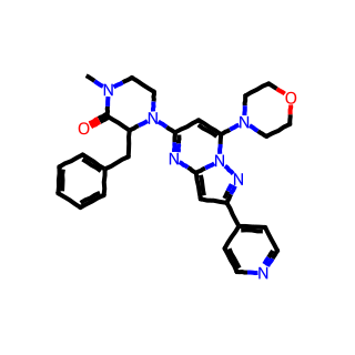 CN1CCN(c2cc(N3CCOCC3)n3nc(-c4ccncc4)cc3n2)C(Cc2ccccc2)C1=O